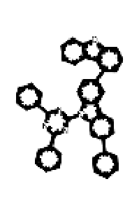 c1ccc(-c2ccc3c4cc(-c5cccc6oc7ccccc7c56)ccc4n(-c4nc(-c5ccccc5)nc(-c5ccccc5)n4)c3c2)cc1